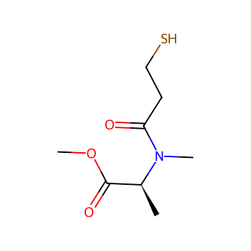 COC(=O)[C@H](C)N(C)C(=O)CCS